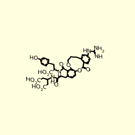 N=C(N)Nc1ccc2c(c1)CCCOc1c(ccc(CCC(=O)NC(CC(=O)O)CC(=O)O)c1C(=O)N[C@@H](Cc1ccc(O)cc1)C(=O)O)OC2=O